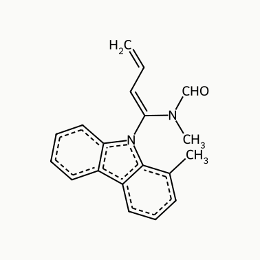 C=C/C=C(\N(C)C=O)n1c2ccccc2c2cccc(C)c21